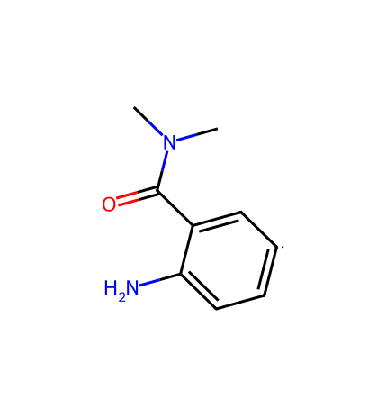 CN(C)C(=O)c1c[c]ccc1N